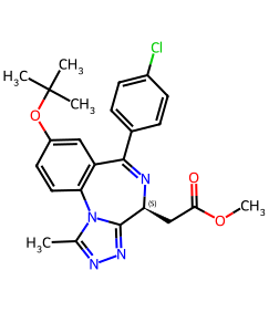 COC(=O)C[C@@H]1N=C(c2ccc(Cl)cc2)c2cc(OC(C)(C)C)ccc2-n2c(C)nnc21